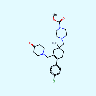 CC1(CN2CCN(C(=O)OC(C)(C)C)CC2)CCC(c2ccc(Cl)cc2)=C(CN2CCC(=O)CC2)C1